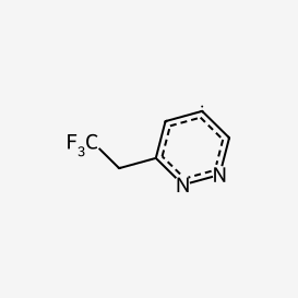 FC(F)(F)Cc1c[c]cnn1